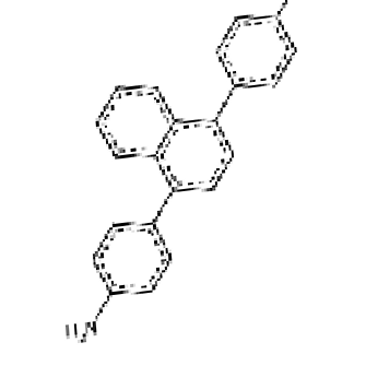 Nc1ccc(-c2ccc(-c3ccc(N)cc3)c3ccccc23)cc1